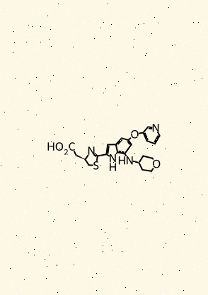 O=C(O)C[C@@H]1CSC(c2cc3cc(Oc4cccnc4)cc(NC4CCOCC4)c3[nH]2)=N1